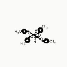 Cc1ccc(COC[C@@H](OCc2ccc(C)cc2)[C@@H](O)[C@H](O)[C@@H](COCc2ccc(C)cc2)OCc2ccc(C)cc2)cc1